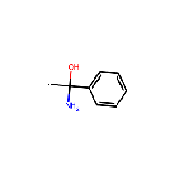 [CH2]C(N)(O)c1ccccc1